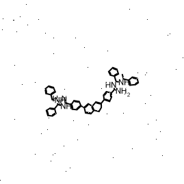 CC(NC(NC(N)c1ccc(C2=Cc3cc(-c4ccc(C(N)NC(NCc5ccccc5)c5ccccc5)cc4)ccc3CC2)cc1)c1ccccc1)c1ccccc1